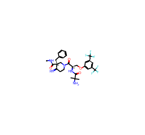 CNC(=O)[C@]1(Cc2ccccc2)CN(C(=O)[C@@H](COc2cc(C(F)(F)F)cc(C(F)(F)F)c2)NC(=O)C(C)(C)N)CCC1=N